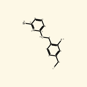 Fc1cc(CI)ccc1COc1cccc(Br)n1